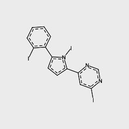 Ic1cc(-c2ccc(-c3ccccc3I)n2I)ncn1